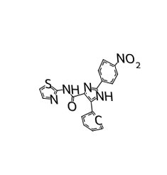 O=C(Nc1nccs1)c1nc(-c2ccc([N+](=O)[O-])cc2)[nH]c1-c1ccccc1